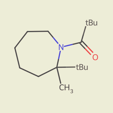 CC(C)(C)C(=O)N1CCCCCC1(C)C(C)(C)C